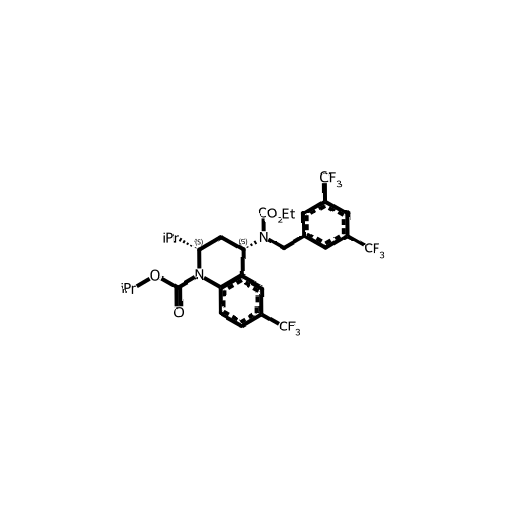 CCOC(=O)N(Cc1cc(C(F)(F)F)cc(C(F)(F)F)c1)[C@H]1C[C@@H](C(C)C)N(C(=O)OC(C)C)c2ccc(C(F)(F)F)cc21